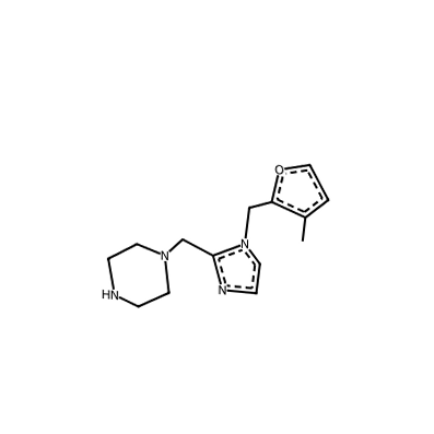 Cc1ccoc1Cn1ccnc1CN1CCNCC1